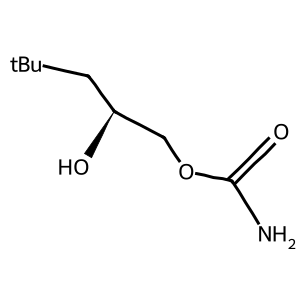 CC(C)(C)C[C@H](O)COC(N)=O